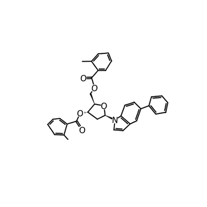 Cc1ccccc1C(=O)OC[C@H]1O[C@@H](n2ccc3cc(-c4ccccc4)ccc32)C[C@@H]1OC(=O)c1ccccc1C